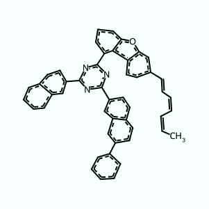 C\C=C/C=C\C=C\c1ccc2c(c1)oc1cccc(-c3nc(-c4ccc5ccccc5c4)nc(-c4ccc5ccc(-c6ccccc6)cc5c4)n3)c12